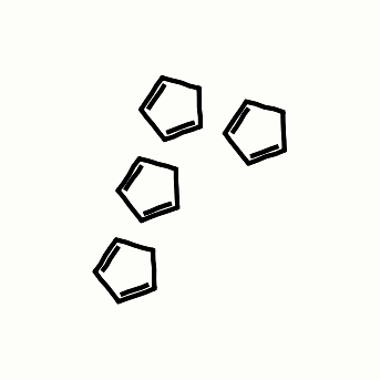 C1=CCC=C1.C1=CCC=C1.C1=CCC=C1.C1=CCC=C1